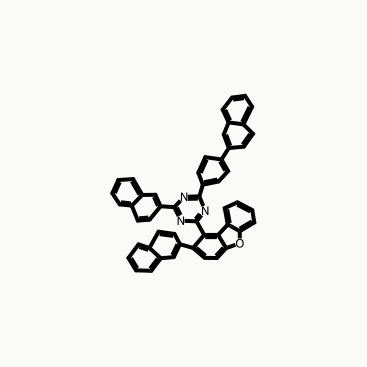 c1ccc2cc(-c3ccc(-c4nc(-c5ccc6ccccc6c5)nc(-c5c(-c6ccc7ccccc7c6)ccc6oc7ccccc7c56)n4)cc3)ccc2c1